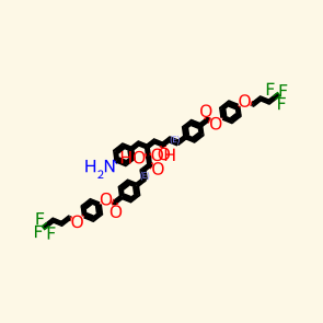 Nc1ccc(CC(CC(=O)/C=C/c2ccc(C(=O)Oc3ccc(OCCCC(F)(F)F)cc3)cc2)C(O)(O)C(=O)/C=C/c2ccc(C(=O)Oc3ccc(OCCCC(F)(F)F)cc3)cc2)cc1